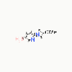 Bc1ccc(N2CC(OC)C2)nc1